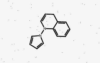 C1=CN(n2cccc2)c2ccccc2C1